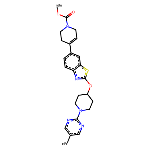 CCCCOC(=O)N1CC=C(c2ccc3nc(OC4CCN(c5ncc(CCC)cn5)CC4)sc3c2)CC1